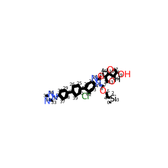 C[Si](C)(C)CCOCn1c(O[C@@H]2CO[C@H]3[C@@H]2OC[C@H]3O)nc2cc(-c3ccc(-c4ccc(-n5cncn5)cc4)cc3)c(Cl)cc21